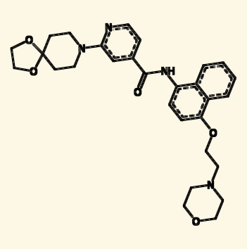 O=C(Nc1ccc(OCCN2CCOCC2)c2ccccc12)c1ccnc(N2CCC3(CC2)OCCO3)c1